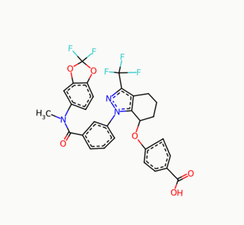 CN(C(=O)c1cccc(-n2nc(C(F)(F)F)c3c2C(Oc2ccc(C(=O)O)cc2)CCC3)c1)c1ccc2c(c1)OC(F)(F)O2